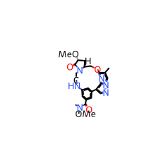 CO[C@@H]1C[C@H]2COc3nc4c(cnn4cc3C)-c3cc(cc(C(=O)N(C)OC)c3)NCCN2C1=O